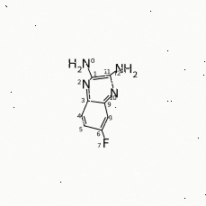 Nc1nc2ccc(F)cc2nc1N